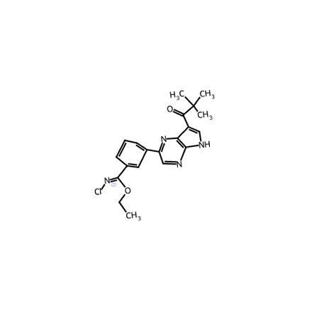 CCO/C(=N\Cl)c1cccc(-c2cnc3[nH]cc(C(=O)C(C)(C)C)c3n2)c1